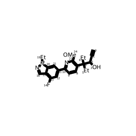 C#CC(O)C(CC)(CC)c1ccc(-c2cc(F)c3cnn(CC)c3c2)nc1OC